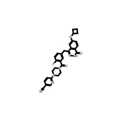 N#Cc1ccc(N2CCN(C(=O)c3cc(Cc4n[nH]c(=O)c5ccc(OC6CCC6)cc45)ccc3F)CC2)nc1